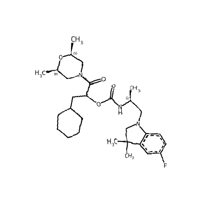 C[C@@H]1CN(C(=O)C(CC2CCCCC2)OC(=O)N[C@@H](C)CN2CC(C)(C)c3cc(F)ccc32)C[C@H](C)O1